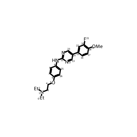 CCN(CC)CCOc1ccc(Nc2ncc(-c3ccc(OC)c(F)c3)cn2)cc1